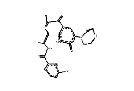 C=C(/C(C)=N\C=C(/C)NC(=O)c1cccc(C(F)(F)F)c1)c1c[nH]c(=O)c(N2CCOCC2)c1